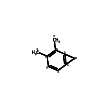 Cc1ccc2c(c1C)[C]2